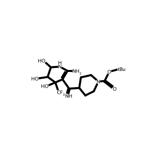 CC(C)(C)OC(=O)N1CCC(C(=N)C2=C(N)NC(O)C(O)C2(O)C(F)(F)F)CC1